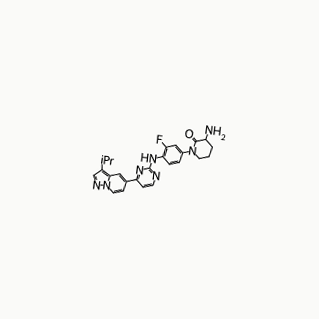 CC(C)c1cnn2ccc(-c3ccnc(Nc4ccc(N5CCCC(N)C5=O)cc4F)n3)cc12